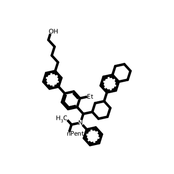 CCCCCC(C)N(c1ccccc1)C(C1=C=C=C(c2cccc(CCCCO)c2)C=C1CC)C1CCCC(c2ccc3c(c2)CCCC3)C1